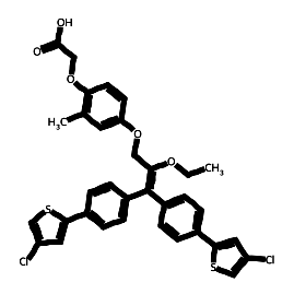 CCOC(COc1ccc(OCC(=O)O)c(C)c1)=C(c1ccc(-c2cc(Cl)cs2)cc1)c1ccc(-c2cc(Cl)cs2)cc1